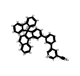 N#Cc1cncc(-c2cccc(-c3ccc4c(c3)-c3c(ccc5ccccc35)C43c4ccccc4-c4ccccc43)c2)c1